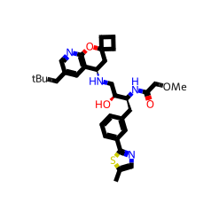 COCC(=O)N[C@@H](Cc1cccc(-c2ncc(C)s2)c1)[C@@H](O)CN[C@H]1CC2(CCC2)Oc2ncc(CC(C)(C)C)cc21